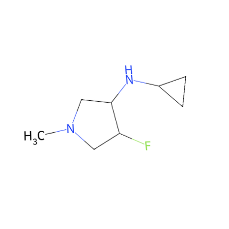 CN1CC(F)C(NC2CC2)C1